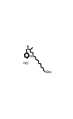 CCCCCCCCCCCCCCCCCCNCCC(C)N(C)Cc1ccccc1.Cl